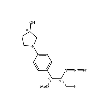 CO[C@H](c1ccc(N2CC[C@@H](O)C2)cc1)[C@@H](CF)N=[N+]=[N-]